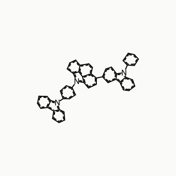 c1ccc(-n2c3ccccc3c3cc(-c4ccc5c6c4ccc4cccc(c46)n5-c4ccc(-n5c6ccccc6c6ccccc65)cc4)ccc32)cc1